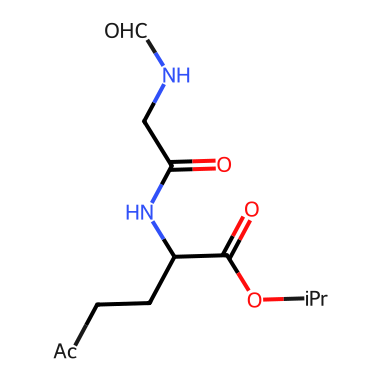 CC(=O)CCC(NC(=O)CNC=O)C(=O)OC(C)C